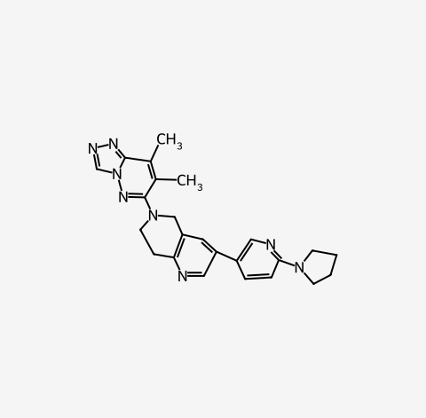 Cc1c(N2CCc3ncc(-c4ccc(N5CCCC5)nc4)cc3C2)nn2cnnc2c1C